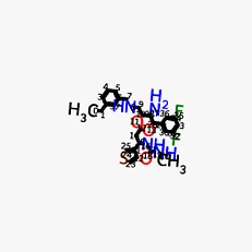 CCc1cccc(CNCC(OC(=O)CC(NC(=O)NC)c2ccsc2)C(N)Cc2cc(F)cc(F)c2)c1